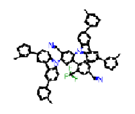 Cc1cccc(-c2ccc3c(c2)c2cc(-c4cccc(C)c4)ccc2n3-c2cc(-c3ccc(C#N)cc3C(F)(F)F)c(-n3c4ccc(-c5cccc(C)c5)cc4c4cc(-c5cccc(C)c5)ccc43)cc2C#N)c1